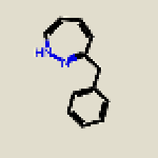 C1=CNN=C(Cc2ccccc2)C=C1